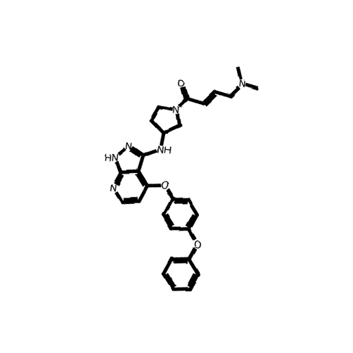 CN(C)C/C=C/C(=O)N1CCC(Nc2n[nH]c3nccc(Oc4ccc(Oc5ccccc5)cc4)c23)C1